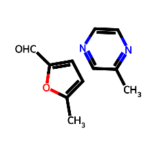 Cc1ccc(C=O)o1.Cc1cnccn1